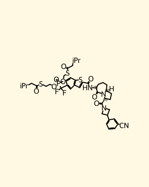 CC(C)CC(=O)SCCOP(=O)(OCSC(=O)CC(C)C)C(F)(F)c1ccc2sc(C(=O)N[C@H]3CCC[C@H]4CC[C@@H](C(=O)N5CC(c6cccc(C#N)c6)C5)N4C3=O)cc2c1